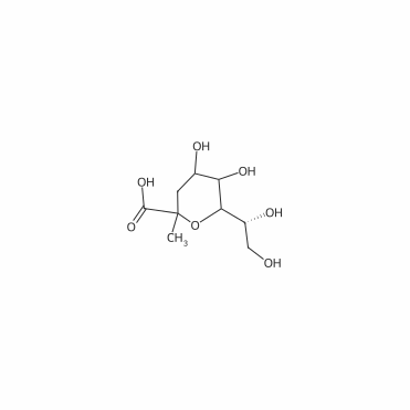 CC1(C(=O)O)CC(O)C(O)C([C@H](O)CO)O1